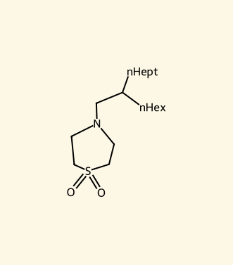 CCCCCCCC(CCCCCC)CN1CCS(=O)(=O)CC1